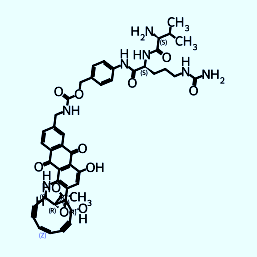 CC(C)[C@H](N)C(=O)N[C@@H](CCCNC(N)=O)C(=O)Nc1ccc(COC(=O)NCc2ccc3c(c2)C(=O)c2c(O)cc4c(c2C3=O)N[C@H]2C#C/C=C\C#C[C@@H](O)[C@@]43O[C@@]23[C@@H](C)O)cc1